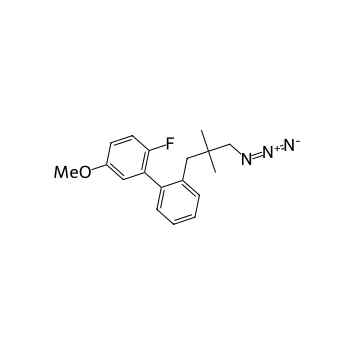 COc1ccc(F)c(-c2ccccc2CC(C)(C)CN=[N+]=[N-])c1